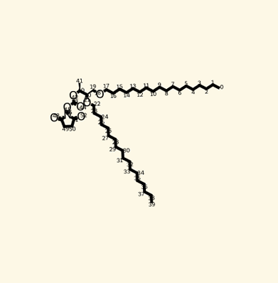 CCCCCCCCCCCCCCCCCCOC[C@@H](OCCCCCCCCCCCCCCCCCC)[C@H](C)OC(=O)ON1C(=O)CCC1=O